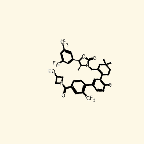 C[C@H]1[C@@H](c2cc(C(F)(F)F)cc(C(F)(F)F)c2)OC(=O)N1CC1=C(c2cc(-c3ccc(C(=O)N4CC(O)C4)cc3C(F)(F)F)ccc2F)CCC(C)(C)C1